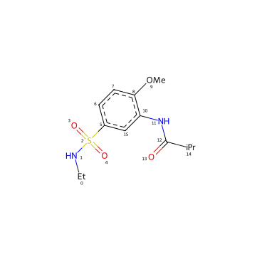 CCNS(=O)(=O)c1ccc(OC)c(NC(=O)C(C)C)c1